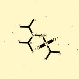 CC(C)N(NS(=O)(=O)C(C)C)C(C)C